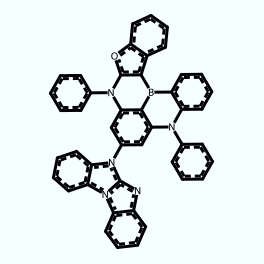 c1ccc(N2c3ccccc3B3c4c2cc(-n2c5ccccc5n5c6ccccc6nc25)cc4N(c2ccccc2)c2oc4ccccc4c23)cc1